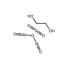 O=[Si]=O.OCCO.[O]=[Al][O][Al]=[O]